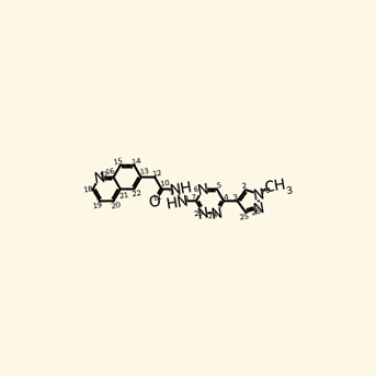 Cn1cc(-c2cnc(NNC(=O)Cc3ccc4ncccc4c3)nn2)cn1